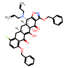 C=CCN(CC=C)[C@@H]1c2onc(OCc3ccccc3)c2C(=O)[C@@]2(O)C(O)=C3C(=O)c4c(OCc5ccccc5)ccc(F)c4C[C@H]3C[C@@H]12